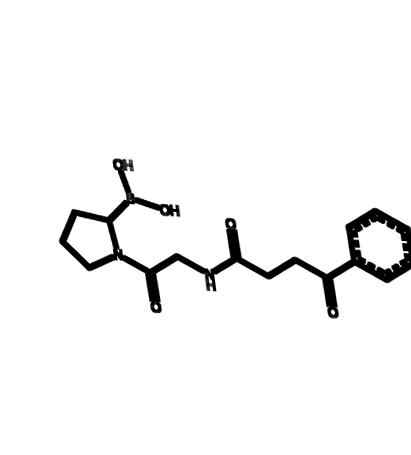 O=C(CCC(=O)c1ccccc1)NCC(=O)N1CCCC1B(O)O